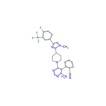 Cn1cc(-c2ccc(F)c(C(F)(F)F)c2)nc1C1CCN(c2ncnc(N)c2-c2ccccc2C#N)CC1